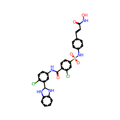 O=C(/C=C/c1ccc(NS(=O)(=O)c2ccc(C(=O)Nc3ccc(Cl)c(C4Nc5ccccc5N4)c3)c(Cl)c2)cc1)NO